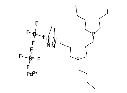 CC#N.CC#N.CCCCP(CCCC)CCCP(CCCC)CCCC.F[B-](F)(F)F.F[B-](F)(F)F.[Pd+2]